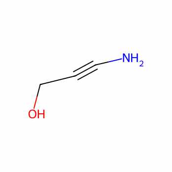 NC#CCO